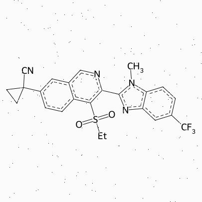 CCS(=O)(=O)c1c(-c2nc3cc(C(F)(F)F)ccc3n2C)ncc2cc(C3(C#N)CC3)ccc12